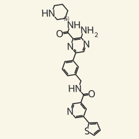 Nc1ncc(-c2cccc(CNC(=O)c3cncc(-c4cccs4)c3)c2)nc1C(=O)N[C@H]1CCCNC1